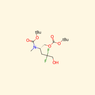 CN(C(=O)OC(C)(C)C)[C@H](COC(=O)OC(C)(C)C)CC(F)(F)CO